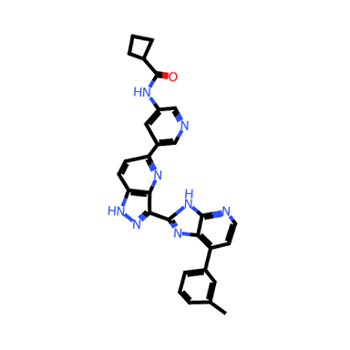 Cc1cccc(-c2ccnc3[nH]c(-c4n[nH]c5ccc(-c6cncc(NC(=O)C7CCC7)c6)nc45)nc23)c1